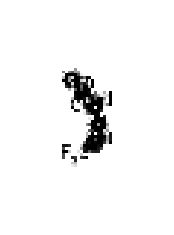 O=C(c1ccc(-c2cc(Cl)c(CC3CCN(N4CCCCC4)C3=O)c(Cl)c2)cc1)N1CCC(C(F)(F)F)CC1